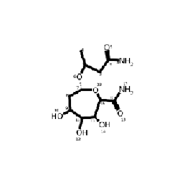 CC(CC(N)=O)O[C@H]1CC(O)C(O)[C@H](O)C(C(N)=O)O1